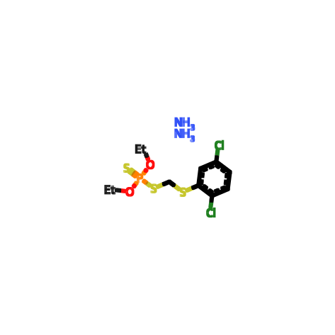 CCOP(=S)(OCC)SCSc1cc(Cl)ccc1Cl.N.N